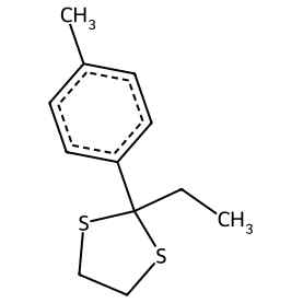 CCC1(c2ccc(C)cc2)SCCS1